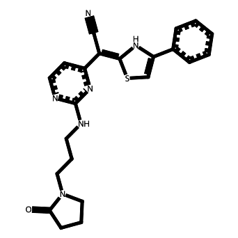 N#C/C(=C1\NC(c2ccccc2)=CS1)c1ccnc(NCCCN2CCCC2=O)n1